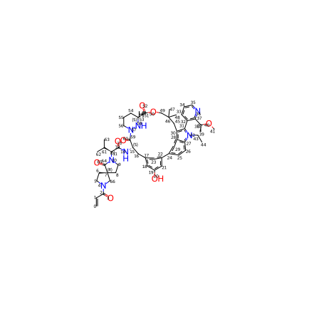 C=CC(=O)N1CC[C@@]2(CCN([C@H](C(=O)N[C@H]3Cc4cc(O)cc(c4)-c4ccc5c(c4)c(c(-c4cccnc4[C@H](C)OC)n5CC)CC(C)(C)COC(=O)[C@@H]4CCCN(N4)C3=O)C(C)C)C2=O)C1